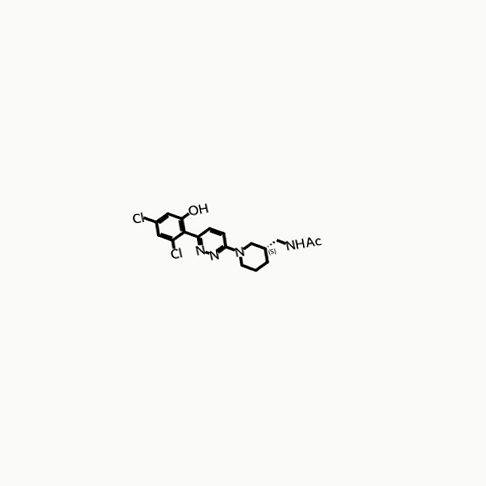 CC(=O)NC[C@@H]1CCCN(c2ccc(-c3c(O)cc(Cl)cc3Cl)nn2)C1